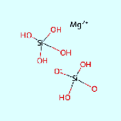 O[Si](O)(O)O.[Mg+2].[O-][Si]([O-])(O)O